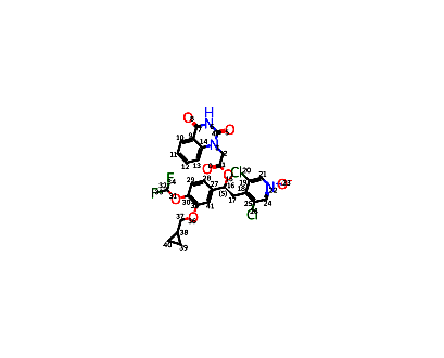 O=C(Cn1c(=O)[nH]c(=O)c2ccccc21)O[C@@H](Cc1c(Cl)c[n+]([O-])cc1Cl)c1ccc(OC(F)F)c(OCC2CC2)c1